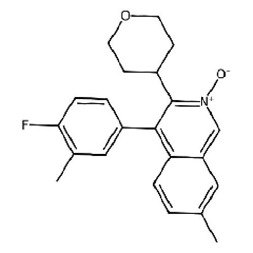 Cc1ccc2c(-c3ccc(F)c(C)c3)c(C3CCOCC3)[n+]([O-])cc2c1